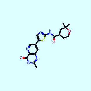 Cc1nc2cc(-c3cnc(NC(=O)C4CCOC(C)(C)C4)s3)cnc2c(=O)[nH]1